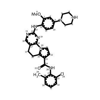 COc1cc(N2CCNCC2)ccc1Nc1ncc2c(n1)-n1ccc(C(=O)Nc3c(C)cccc3Cl)c1CC2